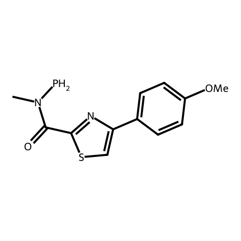 COc1ccc(-c2csc(C(=O)N(C)P)n2)cc1